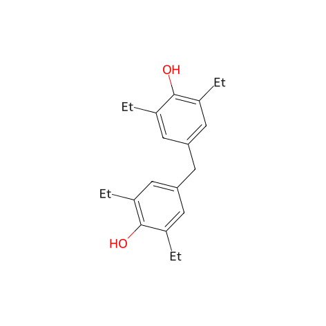 CCc1cc(Cc2cc(CC)c(O)c(CC)c2)cc(CC)c1O